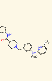 O=CN(c1cccc(CN2CCC(C(=O)NC3CCCC3)CC2)c1)c1cccc(C(F)(F)F)n1